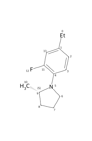 CCc1ccc(N2CCC[C@@H]2C)c(F)c1